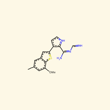 COc1cc(C)cc2cc(-c3cc[nH]c3/C(N)=N\C=N)sc12